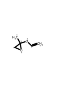 C=COC1(C)CO1